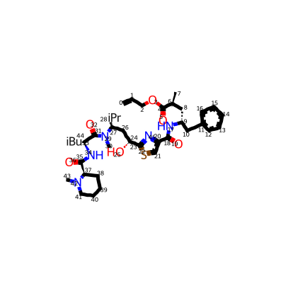 C=CCOC(=O)[C@@H](C)C[C@H](Cc1ccccc1)NC(=O)c1csc([C@H](O)C[C@H](C(C)C)N(C)C(=O)[C@@H](NC(=O)[C@H]2CCCCN2C)[C@@H](C)CC)n1